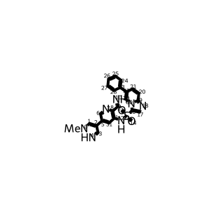 CN/C=C(\C=N)c1cnc(C=N)c(NS(=O)(=O)c2cnc3ccc(-c4ccccc4)cn23)c1